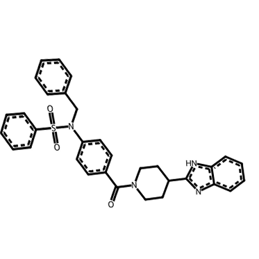 O=C(c1ccc(N(Cc2ccccc2)S(=O)(=O)c2ccccc2)cc1)N1CCC(c2nc3ccccc3[nH]2)CC1